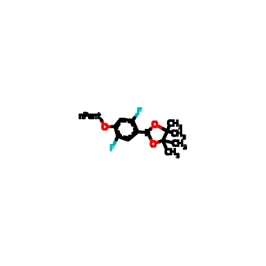 CCCCCOc1cc(F)c(B2OC(C)(C)C(C)(C)O2)cc1F